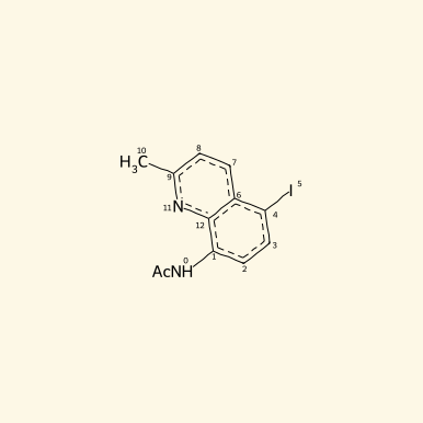 CC(=O)Nc1ccc(I)c2ccc(C)nc12